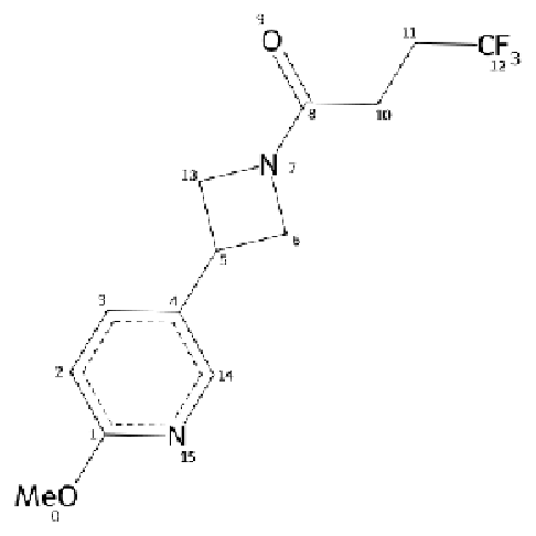 COc1ccc(C2CN(C(=O)CCC(F)(F)F)C2)cn1